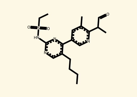 CCCCc1cnc(NS(=O)(=O)CC)nc1-c1cnc(C(C)C=O)c(C)c1